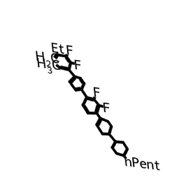 C=C(CC)/C(F)=C(F)\C(=C/C)c1ccc(-c2ccc(C3=CCC(C4CCC(CCCCC)CC4)CC3)c(F)c2F)cc1